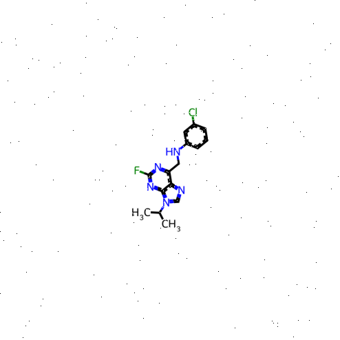 CC(C)n1cnc2c(CNc3cccc(Cl)c3)nc(F)nc21